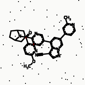 COc1ccc(C(=O)N2C3CCC2CN(c2ccc(-c4cc(-c5ccnc(C)c5)cn5ncc(C#N)c45)cn2)C3)cn1